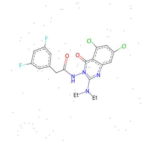 CCN(CC)c1nc2cc(Cl)cc(Cl)c2c(=O)n1NC(=O)Cc1cc(F)cc(F)c1